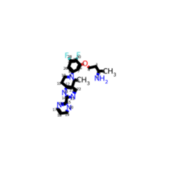 CC(N)CCOc1cc(N2CCc3nc(-c4ncccn4)ncc3C2C)cc(F)c1F